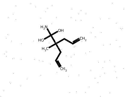 C=CCC(C)(CC=C)C(N)(O)O